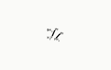 B.CC(C)P.CC(C)P